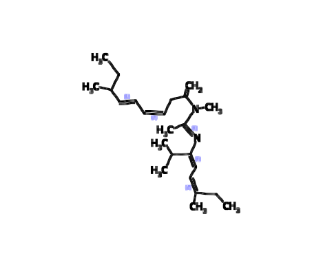 C=C(C/C=C\C=C\C(C)CC)N(C)/C(C)=N/C(=C/C=C(/C)CC)C(C)C